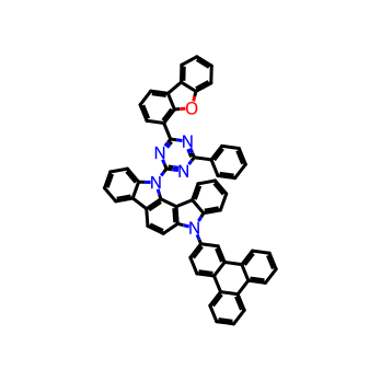 c1ccc(-c2nc(-c3cccc4c3oc3ccccc34)nc(-n3c4ccccc4c4ccc5c(c6ccccc6n5-c5ccc6c7ccccc7c7ccccc7c6c5)c43)n2)cc1